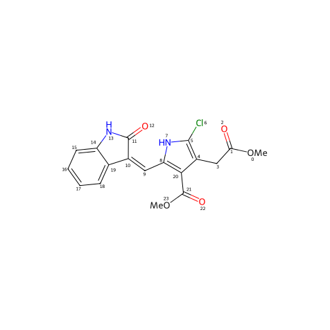 COC(=O)Cc1c(Cl)[nH]c(/C=C2\C(=O)Nc3ccccc32)c1C(=O)OC